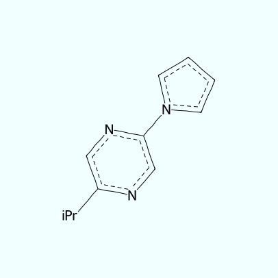 CC(C)c1cnc(-n2cccc2)cn1